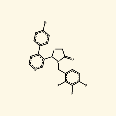 O=C1CSC(c2cnccc2-c2ccc(Br)cc2)N1Cc1ccc(F)c(F)c1F